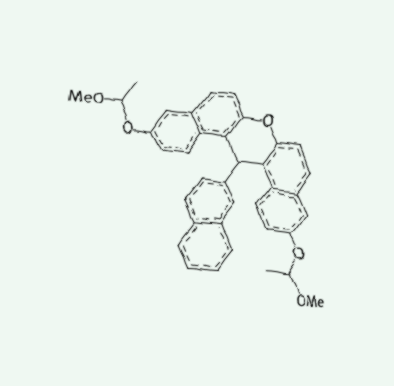 COC(C)Oc1ccc2c3c(ccc2c1)Oc1ccc2cc(OC(C)OC)ccc2c1C3c1ccc2ccccc2c1